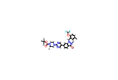 Cc1ccc(OC(F)F)c(Cn2c3cc(-c4cnc(N5CCN(C(=O)OC(C)(C)C)[C@@H](C)C5)nc4)ccc3c(=O)n2C)c1